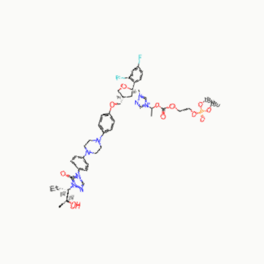 CC[C@@H]([C@H](C)O)n1ncn(-c2ccc(N3CCN(c4ccc(OC[C@@H]5CO[C@@](Cn6c[n+](C(C)OC(=O)OCCOP(=O)(OC(C)(C)C)OC(C)(C)C)cn6)(c6ccc(F)cc6F)C5)cc4)CC3)cc2)c1=O